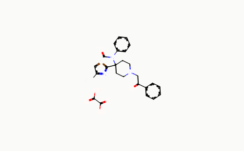 CC(=O)N(c1ccccc1)C1(c2nc(C)cs2)CCN(CC(=O)c2ccccc2)CC1.O=C(O)C(=O)O